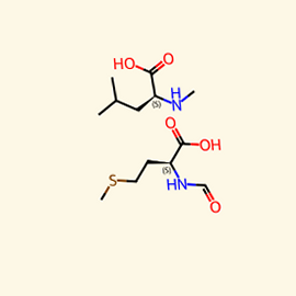 CN[C@@H](CC(C)C)C(=O)O.CSCC[C@H](NC=O)C(=O)O